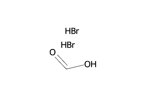 Br.Br.O=CO